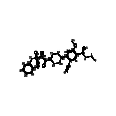 CCCC(=O)c1cc(C#N)c(N2CCC(C(=O)NS(=O)(=O)Cc3ccccc3F)CC2)nc1OC